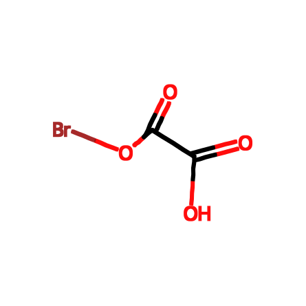 O=C(O)C(=O)OBr